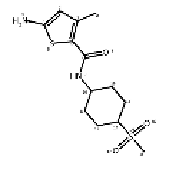 Cc1cc(N)sc1C(=O)NC1CCC(S(C)(=O)=O)CC1